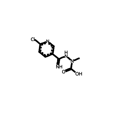 CN(NC(=N)c1ccc(Cl)nc1)C(=O)O